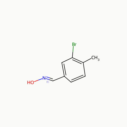 Cc1ccc(/C=N/O)cc1Br